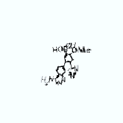 COc1cc(-c2ncns2)c(-c2ccc3c(N)cnnc3c2)cc1B(O)O